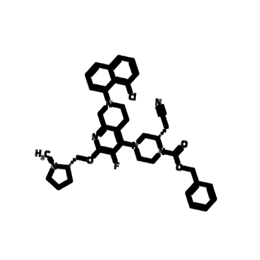 CN1CCC[C@H]1COc1nc2c(c(N3CCN(C(=O)OCc4ccccc4)[C@@H](CC#N)C3)c1F)CCN(c1cccc3cccc(Cl)c13)C2